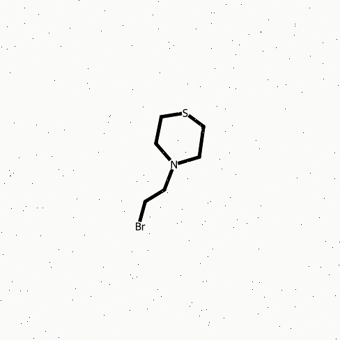 BrCCN1CCSCC1